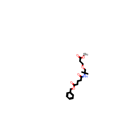 CC(C)(COCCC(=O)OC(C)(C)C)NC(=O)CCCC(=O)OCc1ccccc1